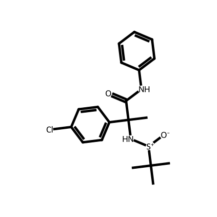 CC(N[S+]([O-])C(C)(C)C)(C(=O)Nc1ccccc1)c1ccc(Cl)cc1